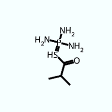 CC(C)C(=O)[SH]=P(N)(N)N